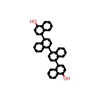 Oc1ccc(-c2ccc(-c3ccc(-c4ccc(O)c5ccccc45)c4ccccc34)c3ccccc23)c2ccccc12